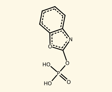 O=P(O)(O)Oc1nc2ccccc2o1